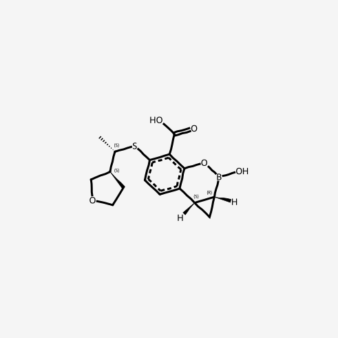 C[C@H](Sc1ccc2c(c1C(=O)O)OB(O)[C@@H]1C[C@H]21)[C@H]1CCOC1